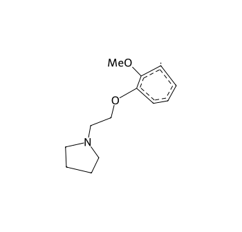 COc1[c]cccc1OCCN1CCCC1